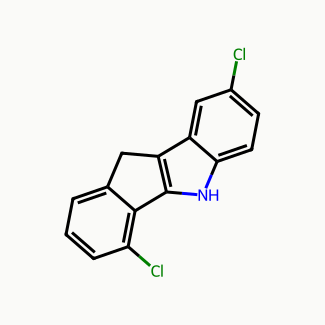 Clc1ccc2[nH]c3c(c2c1)Cc1cccc(Cl)c1-3